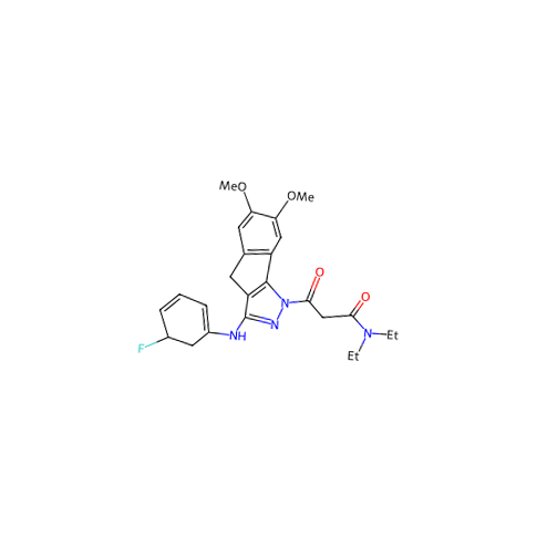 CCN(CC)C(=O)CC(=O)n1nc(NC2=CC=CC(F)C2)c2c1-c1cc(OC)c(OC)cc1C2